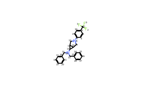 FC(F)(F)c1ccc(N2CC3C(C2)C3N(Cc2ccccc2)Cc2ccccc2)cc1